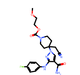 COCCOC(=O)N1CCC(CC#N)(n2cc(C(N)=O)c(Nc3ccc(F)cc3)n2)CC1